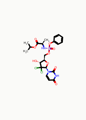 CC(C)OC(=O)[C@@H](C)N[P@](=O)(OC[C@H]1O[C@@H](n2ccc(=O)[nH]c2=O)C(Cl)(Cl)[C@@H]1O)Oc1ccccc1